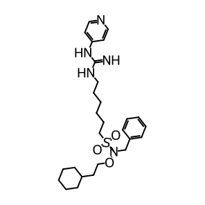 N=C(NCCCCCCS(=O)(=O)N(Cc1ccccc1)OCCC1CCCCC1)Nc1ccncc1